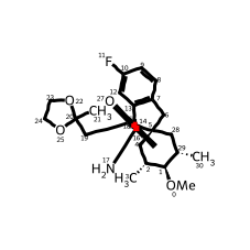 CO[C@H]1[C@H](C)C[C@@]2(Cc3ccc(F)cc3[C@]23N=C(N)N(CC2(C)OCCO2)C3=O)C[C@@H]1C